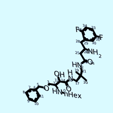 CCCCCCNC(COCc1ccccc1)C(O)C(=O)NCC(C)(C)CNC(=O)CC(N)Cc1cc(F)ccc1F